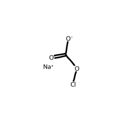 O=C([O-])OCl.[Na+]